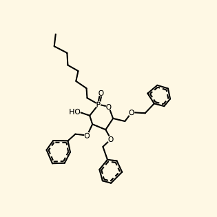 CCCCCCCCP1(=O)OC(COCc2ccccc2)C(OCc2ccccc2)C(OCc2ccccc2)C1O